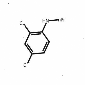 CCCNc1ccc(Cl)cc1Cl